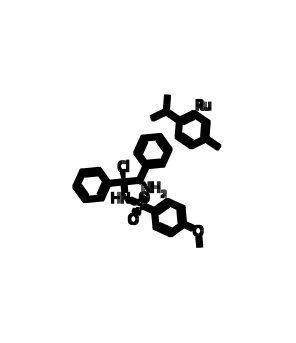 COc1ccc(S(=O)(=O)N[C@](Cl)(c2ccccc2)[C@H](N)c2ccccc2)cc1.Cc1ccc(C(C)C)cc1.[Ru]